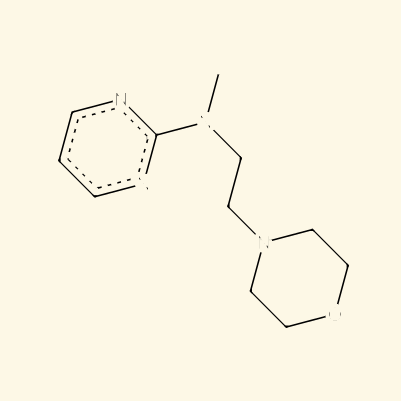 CN(CCN1CCOCC1)c1nc[c]cn1